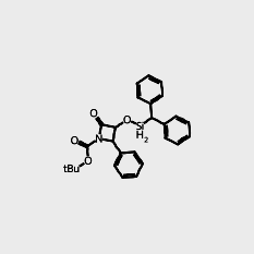 CC(C)(C)OC(=O)N1C(=O)C(O[SiH2]C(c2ccccc2)c2ccccc2)C1c1ccccc1